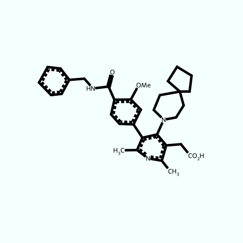 COc1cc(-c2c(C)nc(C)c(CC(=O)O)c2N2CCC3(CCCC3)CC2)ccc1C(=O)NCc1ccccc1